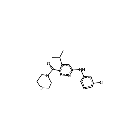 CC(C)c1cc(Nc2cccc(Cl)c2)ncc1C(=O)N1CCOCC1